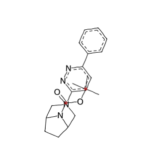 CC(C)(C)OC(=O)N1C2CCC1CN(c1ccc(-c3ccccc3)nn1)C2